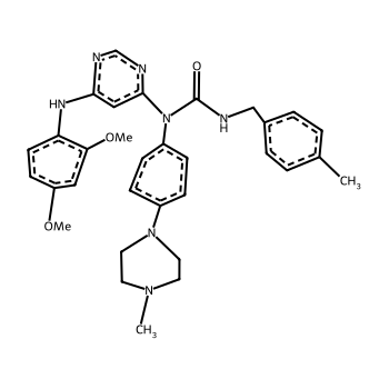 COc1ccc(Nc2cc(N(C(=O)NCc3ccc(C)cc3)c3ccc(N4CCN(C)CC4)cc3)ncn2)c(OC)c1